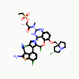 CCS(=O)(=O)O[C@@H](C)C(=O)N(C)[C@@H]1Nc2ccc(OC[C@@]34CCCN3C[C@H](F)C4)c3c2[C@@H](N1)n1cc(Cl)c(-c2ccc(F)c4sc(N)c(C#N)c24)c1C(F)O3